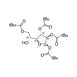 CC(C)(C)C(=O)OC[C@@H](O)[C@@H]1O[C@H](OC(=O)C(C)(C)C)[C@H](OC(=O)C(C)(C)C)[C@H]1OC(=O)C(C)(C)C